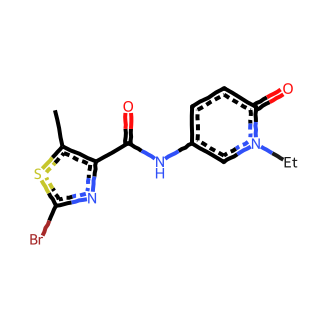 CCn1cc(NC(=O)c2nc(Br)sc2C)ccc1=O